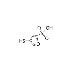 O=S(=O)(O)c1cc(S)co1